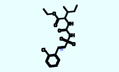 CCOC(=O)C(NC(=O)NS(=O)(=O)/C=C/c1ccccc1Cl)C(C)CC